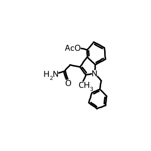 CC(=O)Oc1cccc2c1c(CC(N)=O)c(C)n2Cc1ccccc1